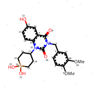 COc1ccc(Cn2c(=O)c3cc(O)ccc3n(C3CCS(O)(O)CC3)c2=O)cc1OC